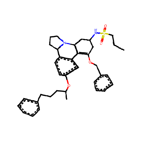 CCCS(=O)(=O)NC1CC(OCc2ccccc2)=C2c3cc(OC(C)CCCc4ccccc4)ccc3C3CCCN3C2C1